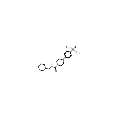 CC(C)(I)c1ccc(N2CCN(C(=O)NCC3CCCCC3)CC2)cc1